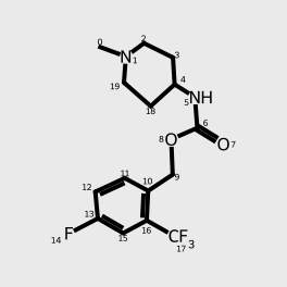 CN1CCC(NC(=O)OCc2ccc(F)cc2C(F)(F)F)CC1